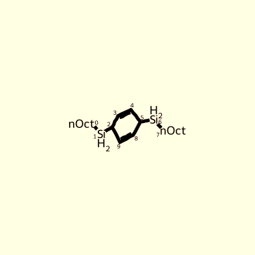 CCCCCCCC[SiH2]C1C=CC([SiH2]CCCCCCCC)C=C1